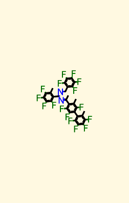 C/C(=N\C(=N/Cc1c(F)c(F)c(F)c(F)c1F)c1c(C)c(F)c(F)c(F)c1F)c1c(C)c(F)c(-c2c(C)c(F)c(F)c(F)c2F)c(F)c1F